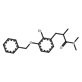 CCc1c(CC(C)C(=O)N(C)C)cccc1OCc1ccccc1